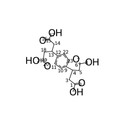 O=C(O)CC(CC(=O)O)c1ccc(C(CC(=O)O)CC(=O)O)cc1